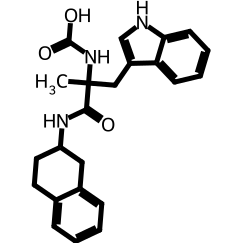 CC(Cc1c[nH]c2ccccc12)(NC(=O)O)C(=O)NC1CCc2ccccc2C1